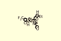 CCc1c(C=C2CN[C@H](CC)C2)c(=O)n2nc(C3=CCOCC3)nc2n1CC(=O)Nc1ccc(C(F)(F)F)cc1Cl